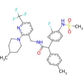 Cc1ccc(C(C(=O)NCc2ccc(C(F)(F)F)nc2N2CCC(C)CC2)c2ccc(NS(C)(=O)=O)c(F)c2)cc1